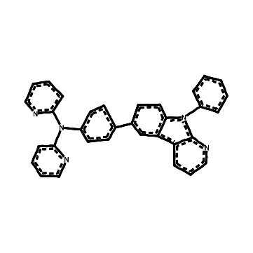 c1ccc(-n2c3ccc(-c4ccc(N(c5ccccn5)c5ccccn5)cc4)cc3c3cccnc32)cc1